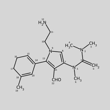 C=C(N(C)C)N(C)c1cn(CCN)c(C2=CCCC(C)=C2)c1C=O